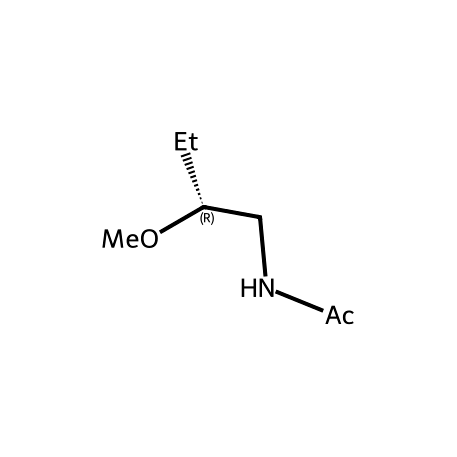 CC[C@H](CNC(C)=O)OC